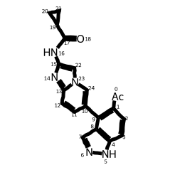 CC(=O)c1ccc2[nH]ncc2c1-c1ccc2nc(NC(=O)C3CC3)cn2c1